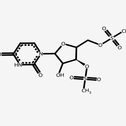 CS(=O)(=O)OCC1OC(n2ccc(=O)[nH]c2=O)C(O)[C@@H]1OS(C)(=O)=O